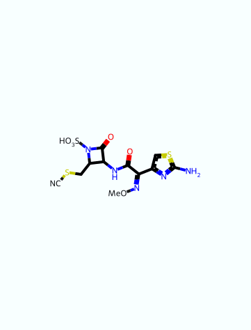 CON=C(C(=O)NC1C(=O)N(S(=O)(=O)O)C1CSC#N)c1csc(N)n1